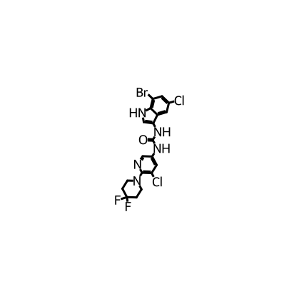 O=C(Nc1cnc(N2CCC(F)(F)CC2)c(Cl)c1)Nc1c[nH]c2c(Br)cc(Cl)cc12